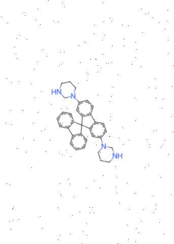 c1ccc2c(c1)-c1ccccc1C21c2cc(N3CCCNC3)ccc2-c2ccc(N3CCCNC3)cc21